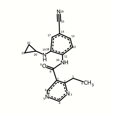 CCc1ncncc1C(=O)Nc1ccc(C#N)cc1NC1CC1